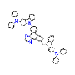 C(=C1/c2ccccc2-c2cc(N(c3ccccc3)c3ccccc3)ccc21)/c1ccc2c3ccc(-n4c5ccccc5c5cc(N(c6ccccc6)c6ccccc6)ccc54)cc3c3nccnc3c2c1